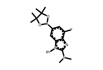 CC(C)n1c(N(C)C)nc2c(F)cc(B3OC(C)(C)C(C)(C)O3)cc21